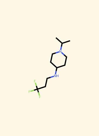 CC(C)N1CCC(NCCC(F)(F)F)CC1